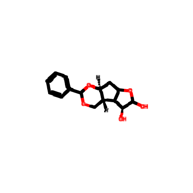 OC1OC2C[C@@H]3OC(c4ccccc4)OC[C@H]3C2[C@@H]1O